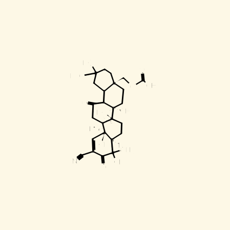 CC(=O)OC[C@]12CCC(C)(C)CC1C1C(=O)C[C@@H]3[C@@]4(C)C=C(C#N)C(=O)C(C)(C)[C@@H]4CC[C@@]3(C)[C@]1(C)CC2